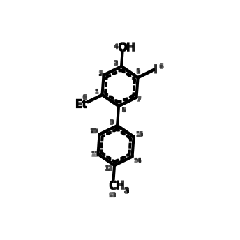 CCc1cc(O)c(I)cc1-c1ccc(C)cc1